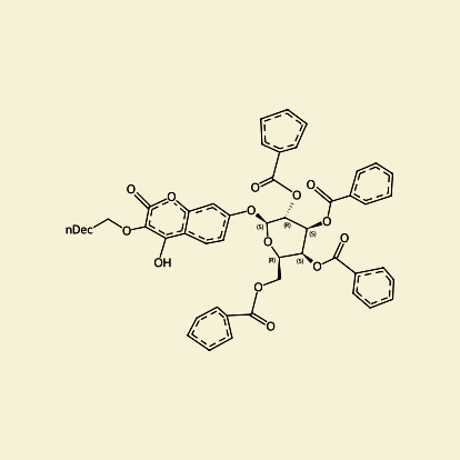 CCCCCCCCCCCOc1c(O)c2ccc(O[C@@H]3O[C@H](COC(=O)c4ccccc4)[C@H](OC(=O)c4ccccc4)[C@H](OC(=O)c4ccccc4)[C@H]3OC(=O)c3ccccc3)cc2oc1=O